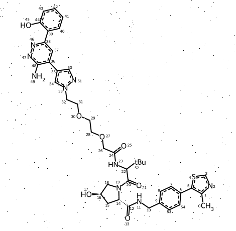 Cc1ncsc1-c1ccc(CNC(=O)[C@@H]2C[C@@H](O)CN2C(=O)C(NC(=O)COCCOCCn2cc(-c3cc(-c4ccccc4O)nnc3N)cn2)C(C)(C)C)cc1